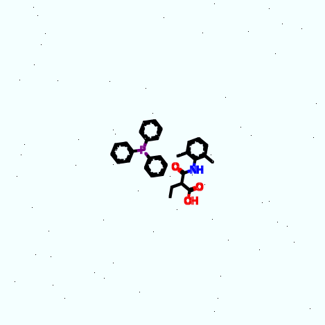 CCC(C(=O)O)C(=O)Nc1c(C)cccc1C.c1ccc(P(c2ccccc2)c2ccccc2)cc1